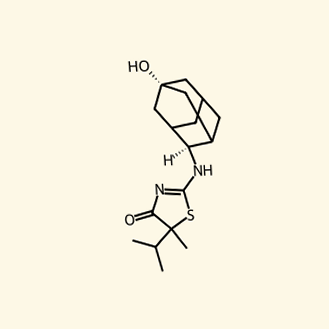 CC(C)C1(C)SC(N[C@H]2C3CC4CC2C[C@](O)(C4)C3)=NC1=O